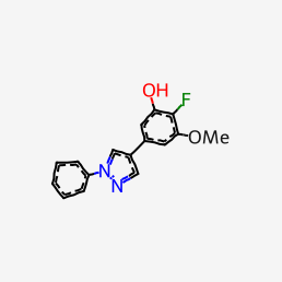 COc1cc(-c2cnn(-c3ccccc3)c2)cc(O)c1F